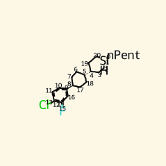 CCCCC[SiH]1CCC([C@H]2CC[C@H](c3ccc(Cl)c(F)c3)CC2)CC1